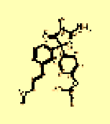 COCC=Cc1cccc(C2(c3ccc(OC(F)F)cc3)N=C(N)N(C)C2=O)c1